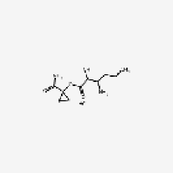 CCCC(N)C(O)C(=O)OC1(C(N)=O)CC1.Cl